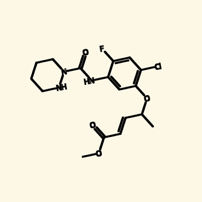 COC(=O)/C=C/C(C)Oc1cc(NC(=O)N2CCCCN2)c(F)cc1Cl